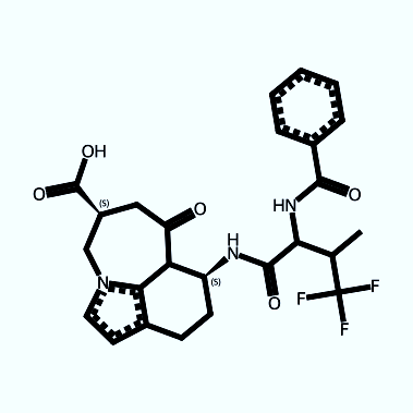 CC(C(NC(=O)c1ccccc1)C(=O)N[C@H]1CCc2ccn3c2C1C(=O)C[C@H](C(=O)O)C3)C(F)(F)F